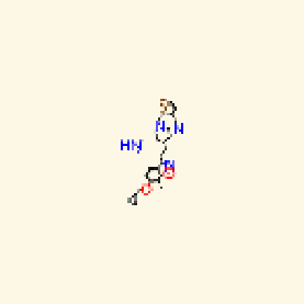 CNC.Cc1c(OCC2CC2)ccc2c(CCC3CCN(Cc4sccc4C#N)CC3)noc12